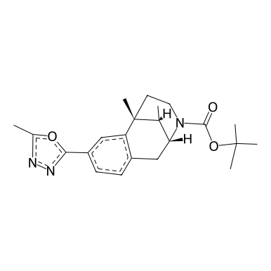 Cc1nnc(-c2ccc3c(c2)[C@]2(C)CCN(C(=O)OC(C)(C)C)[C@H](C3)[C@H]2C)o1